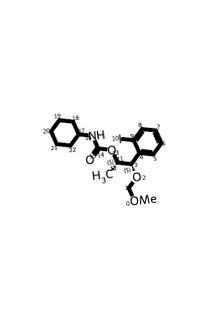 COCO[C@@H](c1ccccc1I)[C@H](C)OC(=O)NC1CCCCC1